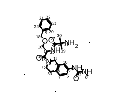 CNC(=O)Nc1ccc2c(c1)CN(C(=O)[C@@H](COCc1ccccc1)NC(=O)C(C)(C)N)CC2